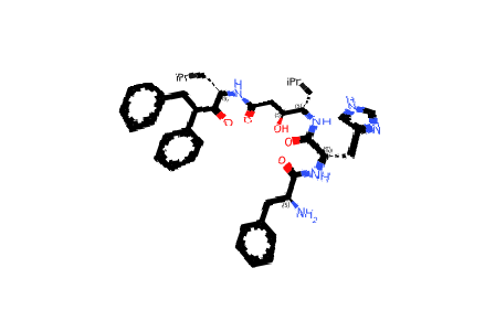 CC(C)C[C@H](NC(=O)C[C@H](O)[C@H](CC(C)C)NC(=O)[C@H](Cc1c[nH]cn1)NC(=O)[C@@H](N)Cc1ccccc1)C(=O)[C](Cc1ccccc1)c1ccccc1